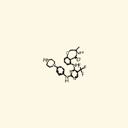 CC1COc2cccc(Nc3nc(Nc4ccc(N5CCNCC5)cc4)ncc3C(F)(F)F)c2C(=O)N1